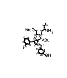 COCC(=O)N(CC[C@@H](N)CF)[C@@H](c1nc(-c2cccc(F)c2)cn1Cc1cccc(O)n1)C(C)(C)C